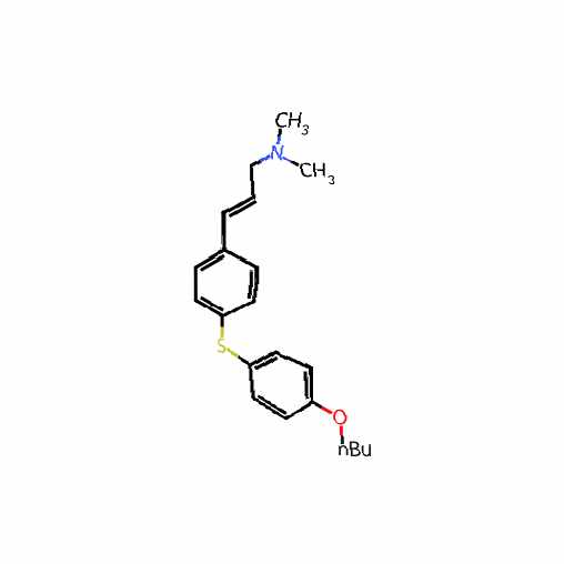 CCCCOc1ccc(Sc2ccc(C=CCN(C)C)cc2)cc1